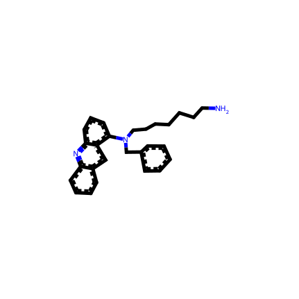 NCCCCCCCN(Cc1ccccc1)c1cccc2nc3ccccc3cc12